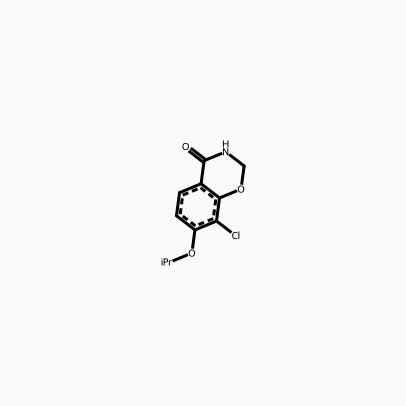 CC(C)Oc1ccc2c(c1Cl)OCNC2=O